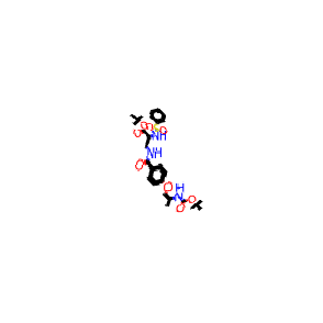 CC(COc1ccc(C(=O)NCC(NS(=O)(=O)c2ccccc2)C(=O)OC(C)(C)C)cc1)NC(=O)OC(C)(C)C